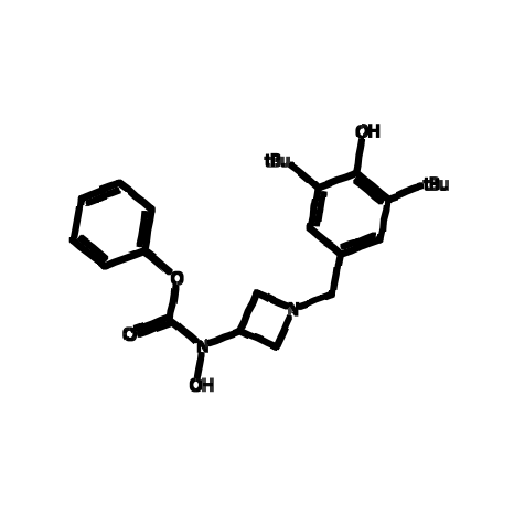 CC(C)(C)c1cc(CN2CC(N(O)C(=O)Oc3ccccc3)C2)cc(C(C)(C)C)c1O